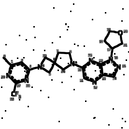 Cc1cc(N2CC3(CCN(c4cnc5cnn(C6CCOC6)c5n4)C3)C2)nc(C(F)(F)F)n1